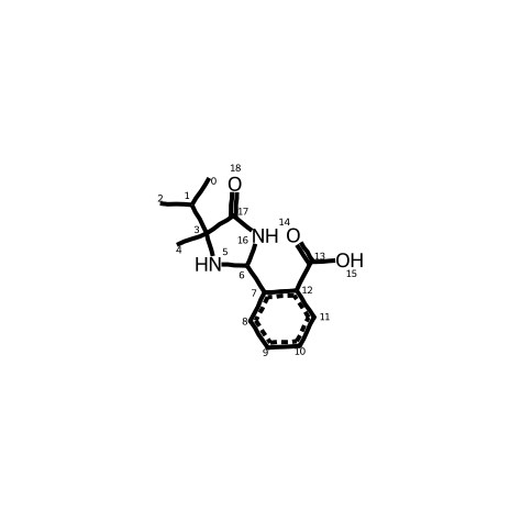 CC(C)C1(C)NC(c2ccccc2C(=O)O)NC1=O